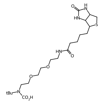 CC(C)(C)N(CCOCCOCCNC(=O)CCCCC1SCC2NC(=O)NC21)C(=O)O